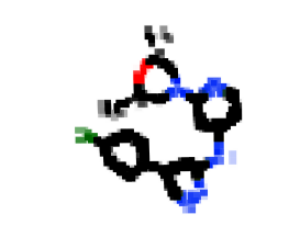 C[C@@H]1CN(c2cc(Nc3cc(-c4ccc(Cl)cc4)cnn3)ccn2)C[C@H](C)O1